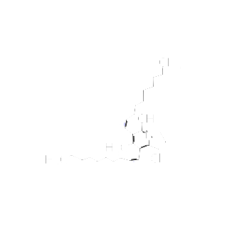 CCCCCCCC/C=C\c1c(C)c(/C=C\CCCCCCCC)c2[n+](c1C)CCC2.[Cl-]